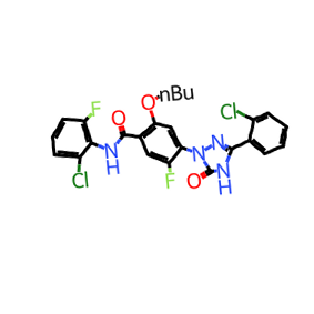 CCCCOc1cc(-n2nc(-c3ccccc3Cl)[nH]c2=O)c(F)cc1C(=O)Nc1c(F)cccc1Cl